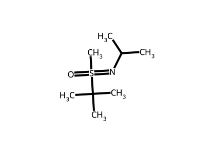 CC(C)N=S(C)(=O)C(C)(C)C